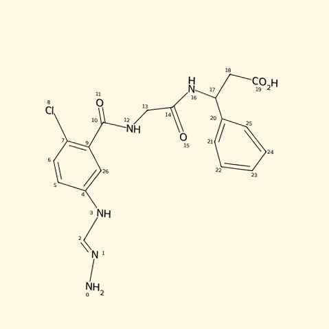 NN=CNc1ccc(Cl)c(C(=O)NCC(=O)NC(CC(=O)O)c2ccccc2)c1